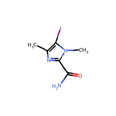 Cc1nc(C(N)=O)n(C)c1I